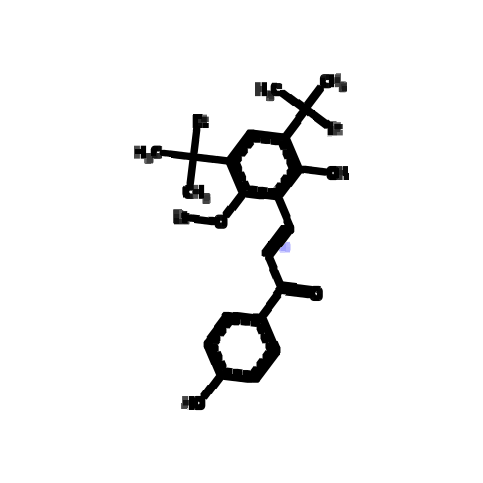 CCOc1c(C(C)(C)CC)cc(C(C)(C)CC)c(O)c1/C=C/C(=O)c1ccc(O)cc1